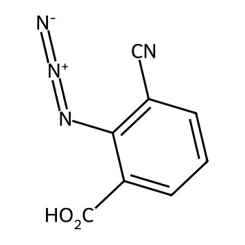 N#Cc1cccc(C(=O)O)c1N=[N+]=[N-]